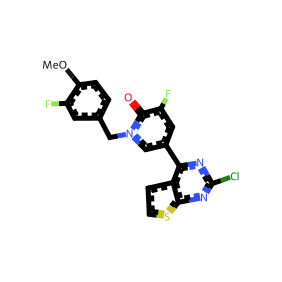 COc1ccc(Cn2cc(-c3nc(Cl)nc4sccc34)cc(F)c2=O)cc1F